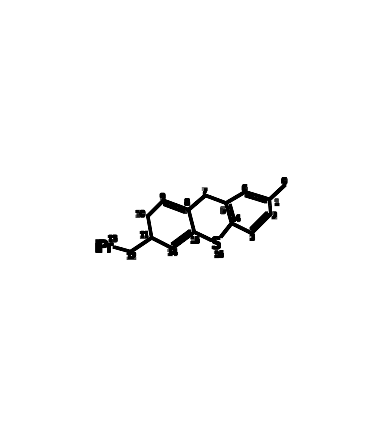 Cc1ccc2c(c1)CC1=CCC(CC(C)C)C=C1S2